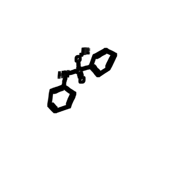 CCOP(=O)(Nc1ccccc1)c1ccccc1